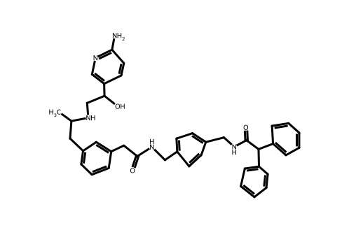 CC(Cc1cccc(CC(=O)NCc2ccc(CNC(=O)C(c3ccccc3)c3ccccc3)cc2)c1)NCC(O)c1ccc(N)nc1